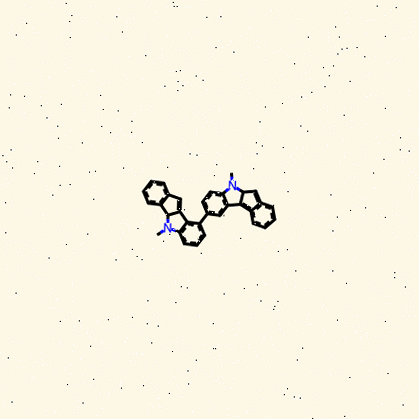 CN1c2ccc(-c3cccc4c3C3=Cc5ccccc5C3N4C)[c]c2C2=c3ccccc3=CC21